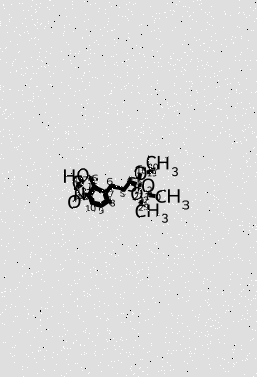 CCO[Si](CCCc1cccc([N+](=O)[O-])c1CO)(OCC)OCC